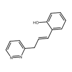 Oc1ccccc1C=CCc1cccnn1